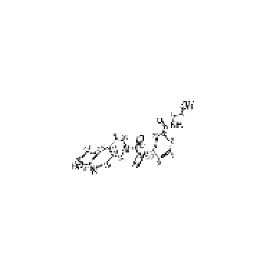 O=C(NCCO)c1cccc(NC(=O)N2CCc3c(cnc4[nH]ncc34)C2)c1